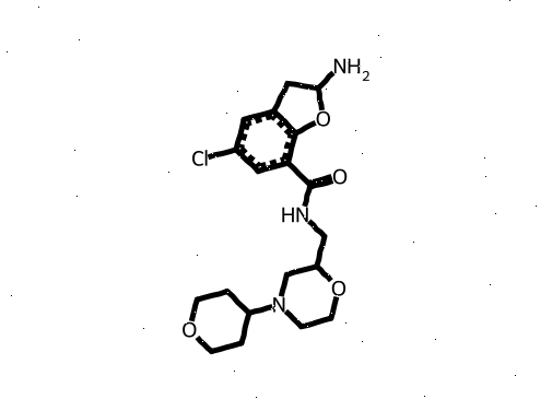 NC1Cc2cc(Cl)cc(C(=O)NCC3CN(C4CCOCC4)CCO3)c2O1